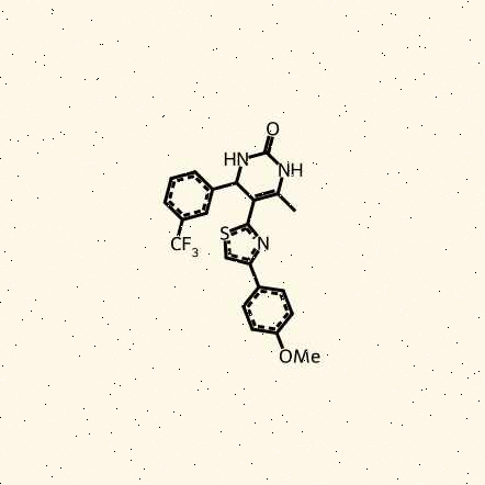 COc1ccc(-c2csc(C3=C(C)NC(=O)NC3c3cccc(C(F)(F)F)c3)n2)cc1